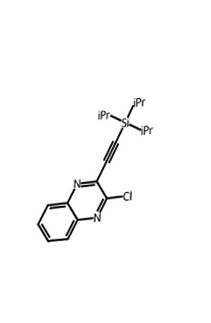 CC(C)[Si](C#Cc1nc2ccccc2nc1Cl)(C(C)C)C(C)C